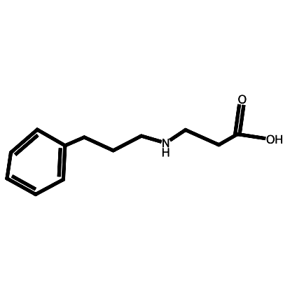 O=C(O)CCNCCCc1ccccc1